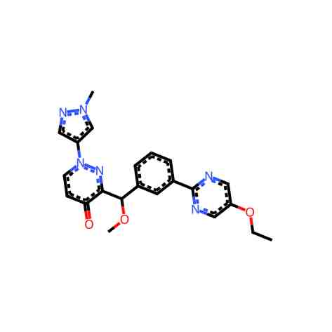 CCOc1cnc(-c2cccc(C(OC)c3nn(-c4cnn(C)c4)ccc3=O)c2)nc1